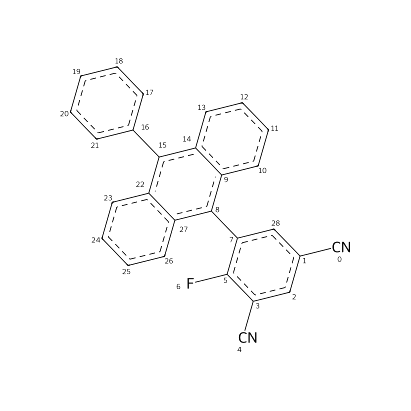 N#Cc1cc(C#N)c(F)c(-c2c3ccccc3c(-c3ccccc3)c3ccccc23)c1